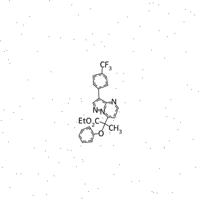 CCOC(=O)C(C)(Oc1ccccc1)c1ccnc2c(-c3ccc(C(F)(F)F)cc3)cnn12